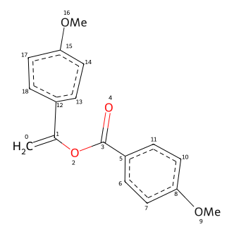 C=C(OC(=O)c1ccc(OC)cc1)c1ccc(OC)cc1